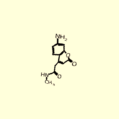 CNC(=O)Cc1cc(=O)oc2cc(N)ccc12